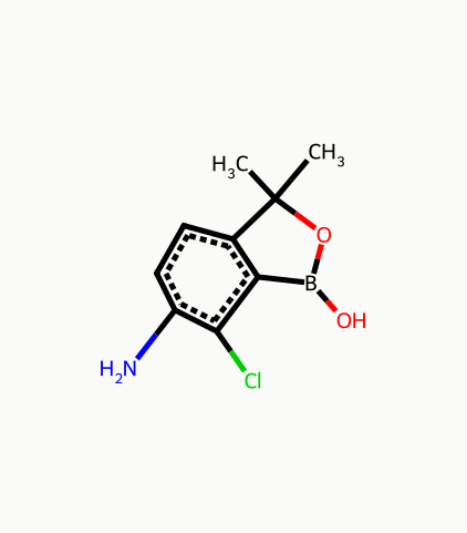 CC1(C)OB(O)c2c1ccc(N)c2Cl